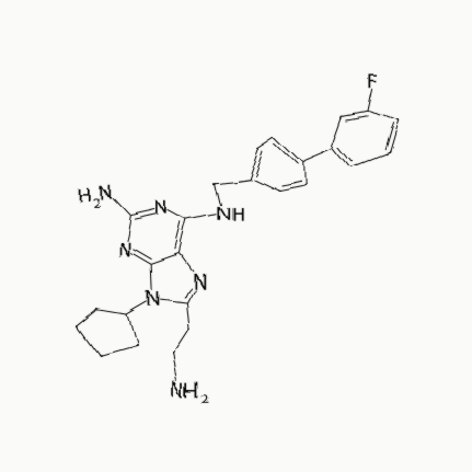 NCCc1nc2c(NCc3ccc(-c4cccc(F)c4)cc3)nc(N)nc2n1C1CCCC1